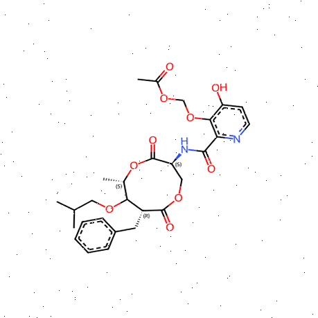 CC(=O)OCOc1c(O)ccnc1C(=O)N[C@H]1COC(=O)[C@H](Cc2ccccc2)C(OCC(C)C)[C@H](C)OC1=O